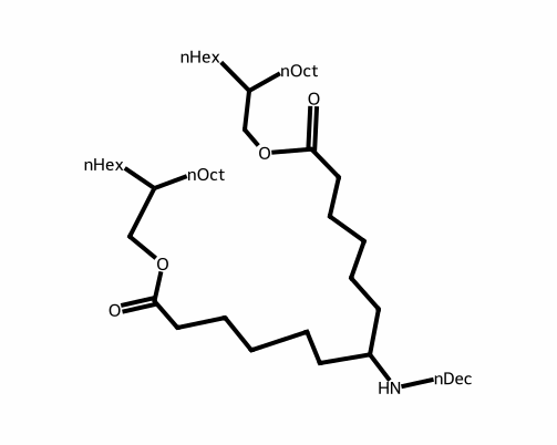 CCCCCCCCCCNC(CCCCCC(=O)OCC(CCCCCC)CCCCCCCC)CCCCCC(=O)OCC(CCCCCC)CCCCCCCC